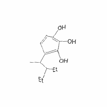 CCC(CC)C(C)c1ccc(O)c(O)c1O